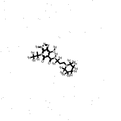 [2H]Oc1c(C(=O)N([2H])C([2H])([2H])CCN2C([2H])([2H])C([2H])([2H])C([2H])([2H])C([2H])([2H])C2([2H])[2H])c(=O)n(C([2H])(C)C([2H])([2H])[2H])c2c1nnn2[2H]